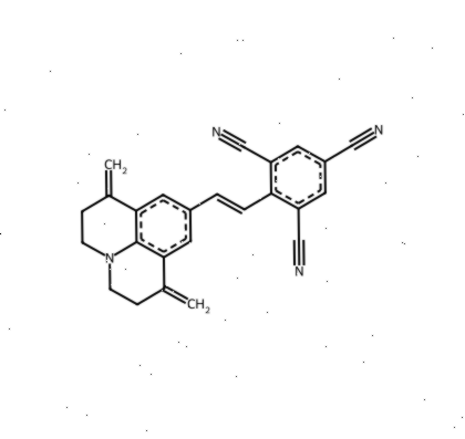 C=C1CCN2CCC(=C)c3cc(C=Cc4c(C#N)cc(C#N)cc4C#N)cc1c32